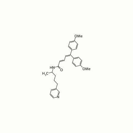 COc1ccc(C(=CC=CC(=O)NC(C)CCCc2cccnc2)c2ccc(OC)cc2)cc1